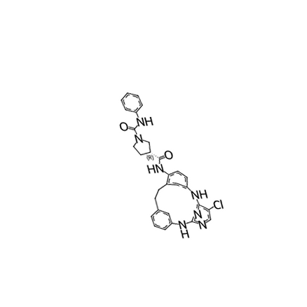 O=C(Nc1ccc2cc1CCc1cccc(c1)Nc1ncc(Cl)c(n1)N2)[C@@H]1CCN(C(=O)Nc2ccccc2)C1